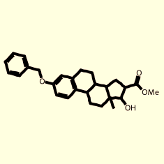 COC(=O)C1CC2C3CCc4cc(OCc5ccccc5)ccc4C3CCC2(C)C1O